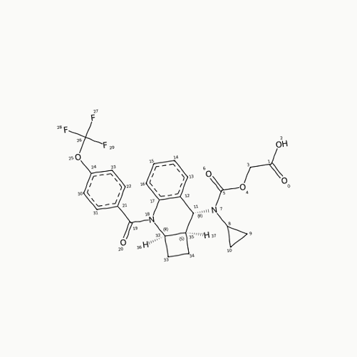 O=C(O)COC(=O)N(C1CC1)[C@H]1c2ccccc2N(C(=O)c2ccc(OC(F)(F)F)cc2)[C@@H]2CC[C@@H]21